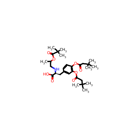 CC(CN[C@@H](Cc1ccc(OC(=O)CC(C)(C)C)c(OC(=O)CC(C)(C)C)c1)C(=O)O)OC(=O)C(C)(C)C